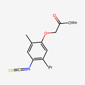 COC(=O)COc1cc(C(C)C)c(N=C=S)cc1C